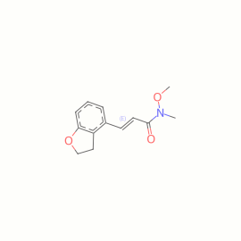 CON(C)C(=O)/C=C/c1cccc2c1CCO2